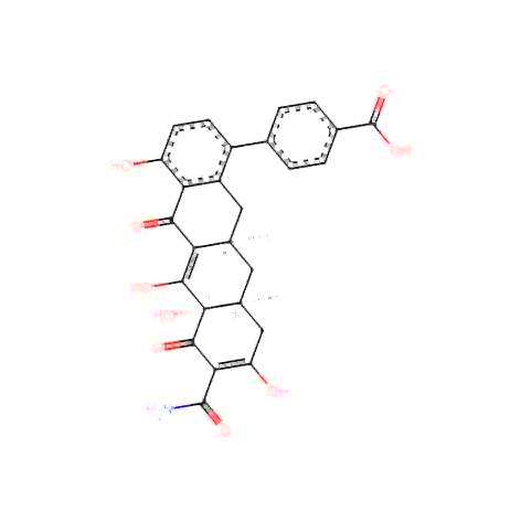 NC(=O)C1=C(O)C[C@@H]2C[C@@H]3Cc4c(-c5ccc(C(=O)O)cc5)ccc(O)c4C(=O)C3=C(O)[C@]2(O)C1=O